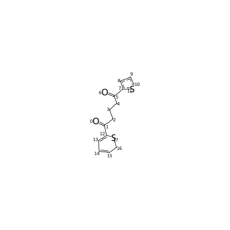 O=C(CCCC(=O)c1cccs1)C1=CC=CCS1